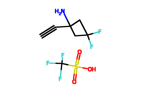 C#CC1(N)CC(F)(F)C1.O=S(=O)(O)C(F)(F)F